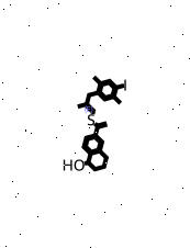 C=C(S/C=C(\C)Cc1cc(C)c(I)cc1C)c1ccc2c(c1)CCCC2O